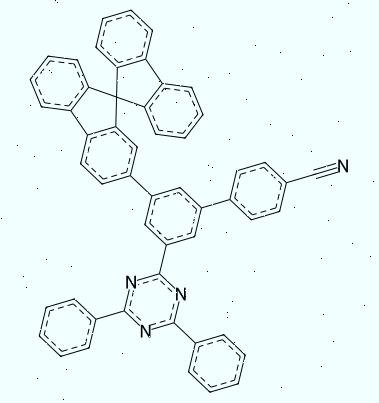 N#Cc1ccc(-c2cc(-c3ccc4c(c3)C3(c5ccccc5-c5ccccc53)c3ccccc3-4)cc(-c3nc(-c4ccccc4)nc(-c4ccccc4)n3)c2)cc1